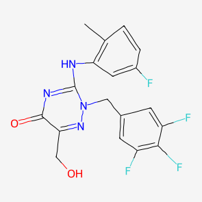 Cc1ccc(F)cc1Nc1nc(=O)c(CO)nn1Cc1cc(F)c(F)c(F)c1